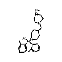 CC(=O)C(c1ccccc1C)(c1ccccc1C)N1CCC(CN2CCN(C(C)(C)C)CC2)CC1